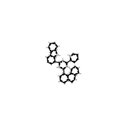 c1ccc(-c2nc(-c3cccc4c3oc3ccccc34)nc(-c3cccc4ccc5ccccc5c34)n2)nc1